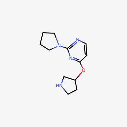 c1cc(OC2CCNC2)nc(N2CCCC2)n1